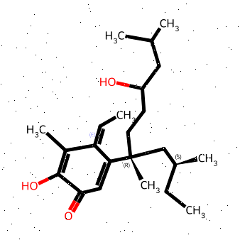 C/C=C1\C([C@](C)(CCC(O)CC(C)C)C[C@@H](C)CC)=CC(=O)C(O)=C1C